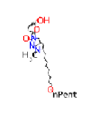 CCCCCOCCCCCCCCCc1cc2cn([C@@H]3CC[C@H](CO)O3)c(=O)nc2n1C